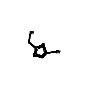 CC(C)Cn1ncc(C(C)C)n1